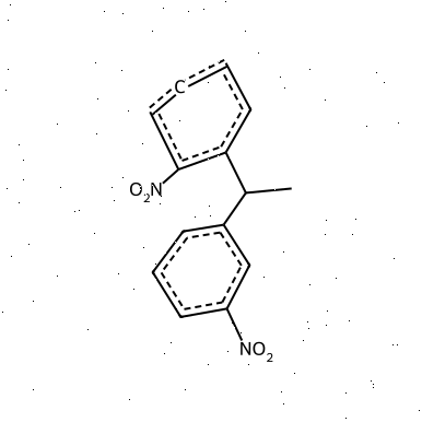 CC(c1cccc([N+](=O)[O-])c1)c1ccccc1[N+](=O)[O-]